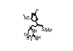 CS/C=C(\CC[C@]1(C)CS(=O)(=O)N(C)C(=N)N1)c1cc(F)cc(C#N)c1